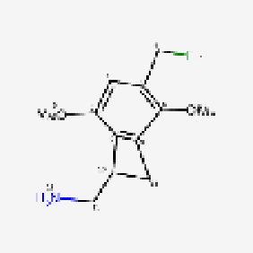 COc1cc(CF)c(OC)c2c1C(CN)C2